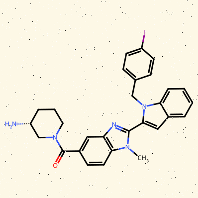 Cn1c(-c2cc3ccccc3n2Cc2ccc(I)cc2)nc2cc(C(=O)N3CCC[C@@H](N)C3)ccc21